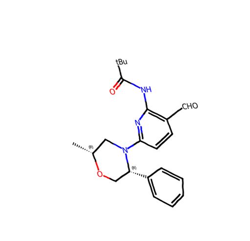 C[C@@H]1CN(c2ccc(C=O)c(NC(=O)C(C)(C)C)n2)[C@H](c2ccccc2)CO1